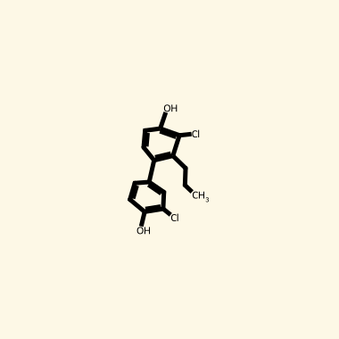 CCCc1c(-c2ccc(O)c(Cl)c2)ccc(O)c1Cl